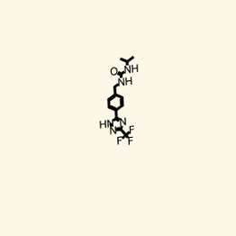 CC(C)NC(=O)NCc1ccc(-c2nc(C(F)(F)F)n[nH]2)cc1